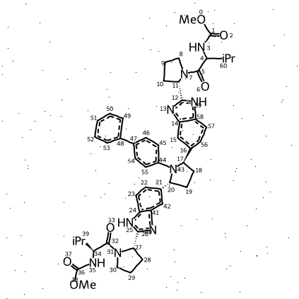 COC(=O)NC(C(=O)N1CCC[C@H]1c1nc2cc([C@H]3CC[C@H](c4ccc5[nH]c([C@@H]6CCCN6C(=O)[C@@H](NC(=O)OC)C(C)C)nc5c4)N3c3ccc(-c4ccccc4)cc3)ccc2[nH]1)C(C)C